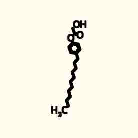 CCCCCCCCCCCCc1ccc(OC(=O)CO)cc1